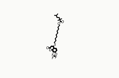 CC(C)CCC(C)(C)C(=O)OCCCCCCCCCCSc1cc(=O)oc2cc(OC(F)(F)F)ccc12